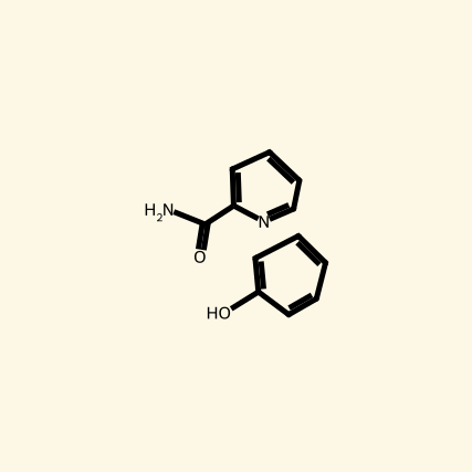 NC(=O)c1ccccn1.Oc1ccccc1